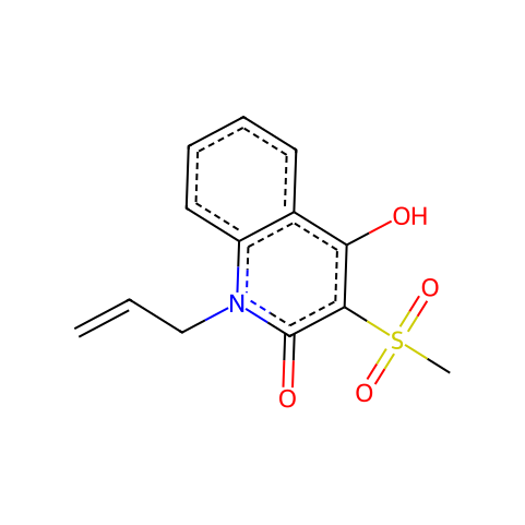 C=CCn1c(=O)c(S(C)(=O)=O)c(O)c2ccccc21